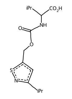 CC(C)c1cc(COC(=O)NC(C(=O)O)C(C)C)sn1